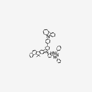 CC1(C)C2=C(C=CC3CC=CC=C23)c2cc3c4cc(-c5ccc(N6c7ccccc7C7C=CC=CC6C7)cc5)ccc4n(-c4cccc(C5N=C(c6ccccc6)N=C(C6=CC=CCC6)N5)c4)c3cc21